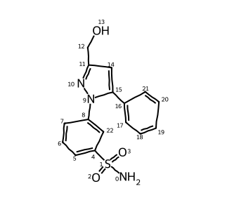 NS(=O)(=O)c1cccc(-n2nc(CO)cc2-c2ccccc2)c1